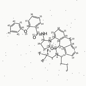 CCCCN(CC(F)(F)F)C(=O)C1c2ccccc2Sc2cccc(N3CCCC3NC(=O)c3ccccc3Oc3ccccc3)c21